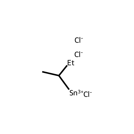 CC[CH](C)[Sn+3].[Cl-].[Cl-].[Cl-]